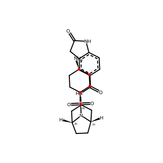 N[C@H]1CC[C@@H](S(=O)(=O)N2[C@@H]3CC[C@H]2C[C@@H](NC(=O)c2ccc4c(c2)CC(=O)N4)C3)CC1